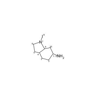 NC1CCC2CCN(I)C2C1